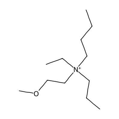 CCCC[N+](CC)(CCC)CCOC